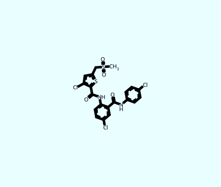 CS(=O)(=O)Cc1cc(Cl)c(C(=O)Nc2ccc(Cl)cc2C(=O)Nc2ccc(Cl)cc2)s1